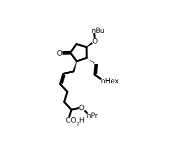 CCCCCC/C=C/[C@H]1[C@H](OCCCC)CC(=O)[C@@H]1C/C=C\CCC(OCCC)C(=O)O